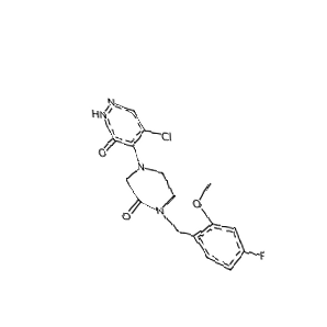 COc1cc(F)ccc1CN1CCN(c2c(Cl)cn[nH]c2=O)CC1=O